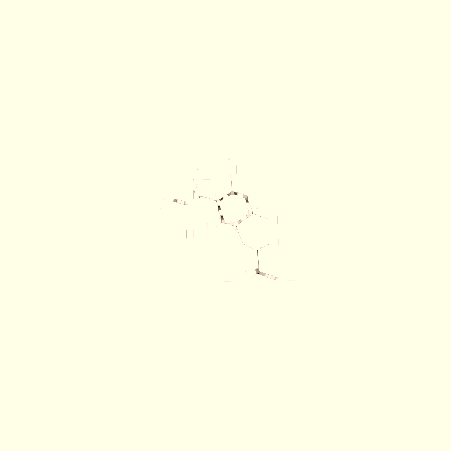 C=CN(C)c1c(C)cc(C)c(CC(CC)C(=C)C)c1C